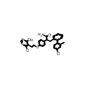 Cc1cc(Cl)ccc1-c1ccccc1CC(C(N)=O)c1ccc(OCCc2c(O)ncnc2Cl)cc1